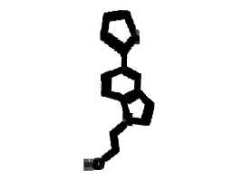 OCCn1ccc2cc(-c3cccs3)ccc21